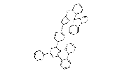 C1=CC2c3ccccc3C3(c4ccccc4Oc4ccc(-c5ccc(-c6nc(-c7ccccc7)cc(-c7ccccc7-c7ccccc7)n6)cc5)cc43)C2C=C1